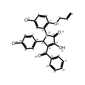 C=CCOc1ccc(Cl)cc1N1C(=O)C(O)=C(C(=O)c2ccccc2)C1c1ccc(Cl)cc1